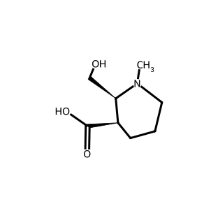 CN1CCC[C@@H](C(=O)O)[C@H]1CO